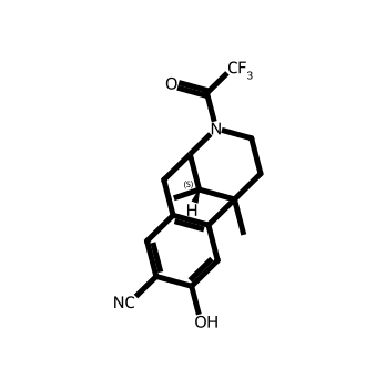 C[C@@H]1C2Cc3cc(C#N)c(O)cc3C1(C)CCN2C(=O)C(F)(F)F